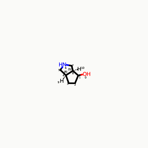 OC1CC[C@H]2CNC[C@@H]12